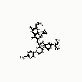 CCCO.Cc1ccc(N2CCC[C@H](N(Cc3ccnc(C)c3)Cc3cn(C4CC4)c4cc(CN)c(F)cc4c3=O)C2)cn1